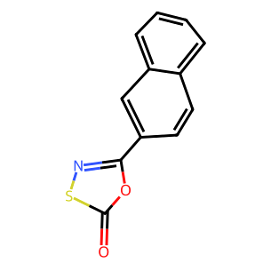 O=c1oc(-c2ccc3ccccc3c2)ns1